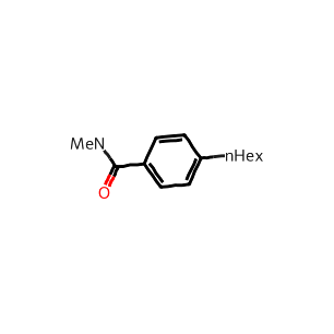 [CH2-][NH2+]C(=O)c1ccc(CCCCCC)cc1